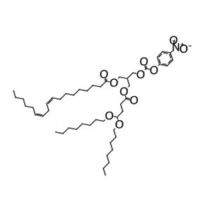 CCCCC/C=C\C/C=C\CCCCCCCC(=O)OCC(COC(=O)CCC(OCCCCCCCC)OCCCCCCCC)COC(=O)Oc1ccc([N+](=O)[O-])cc1